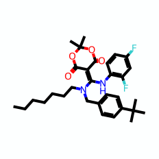 CCCCCCCN(Cc1ccc(C(C)(C)C)cc1)C(Nc1ccc(F)cc1F)=C1C(=O)OC(C)(C)OC1=O